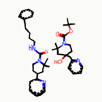 CC(C)(C)OC(=O)N1CCC(O)(c2ccccn2)CC1(C)C.CC1(C)CC(c2ccccn2)CCN1C(=O)NCCCCc1ccccc1